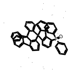 O=P(c1ccccc1)(c1ccccc1)c1cccc2c1-c1ccccc1C21c2ccccc2C2(c3ccccc3)c3ccccc3-c3cccc1c32